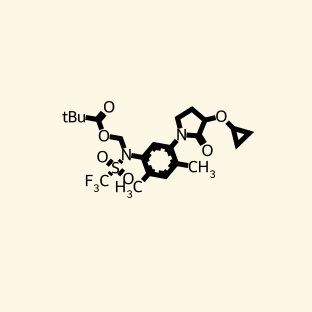 Cc1cc(C)c(N(COC(=O)C(C)(C)C)S(=O)(=O)C(F)(F)F)cc1N1CCC(OC2CC2)C1=O